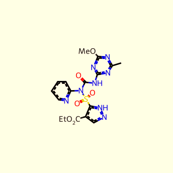 CCOC(=O)c1cn[nH]c1S(=O)(=O)N(C(=O)Nc1nc(C)nc(OC)n1)c1ccccn1